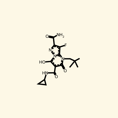 CC(C)(C)Cn1c(=O)c(C(=O)NC2CC2)c(O)n2nc(C(N)=O)c(F)c12